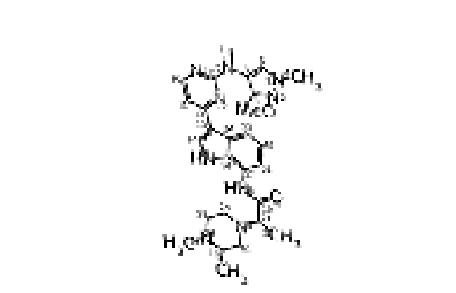 COc1nn(C)cc1Nc1nccc(-c2c[nH]c3c(NC(=O)C(C)N4CCN(C)[C@H](C)C4)cccc23)n1